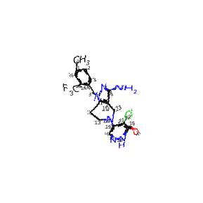 Cc1ccc(Cn2nc(N)c3c2CCN(c2cn[nH]c(=O)c2Cl)C3)c(C(F)(F)F)c1